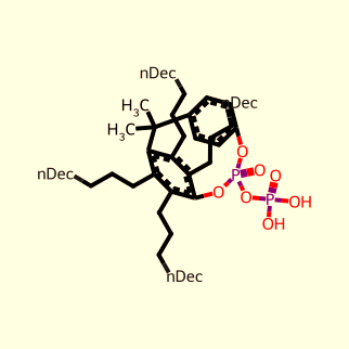 CCCCCCCCCCCCCc1c(CCCCCCCCCCCCC)c2c(CCCCCCCCCCCCC)c(CCCCCCCCCCCCC)c1OP(=O)(OP(=O)(O)O)Oc1ccc(cc1)C2(C)C